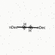 CCCCCCCCCCCCCCCCCCOC(=S)NCCCCCCNC(=S)OCCCCCCCCCCCCCCCCCC